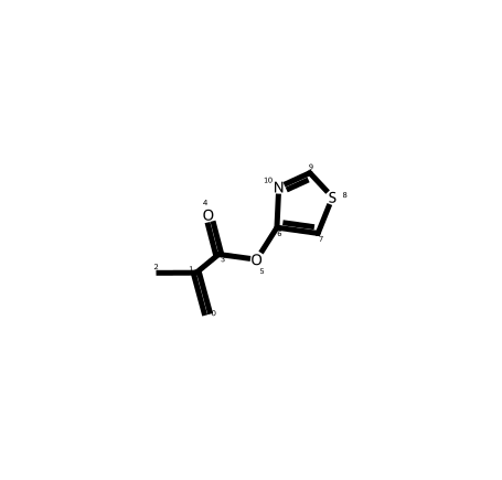 C=C(C)C(=O)Oc1cscn1